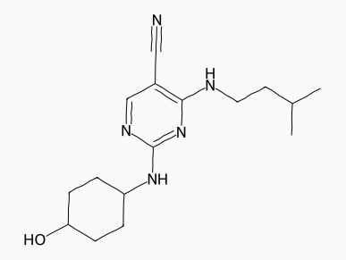 CC(C)CCNc1nc(NC2CCC(O)CC2)ncc1C#N